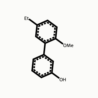 CCc1ccc(OC)c(-c2cccc(O)c2)c1